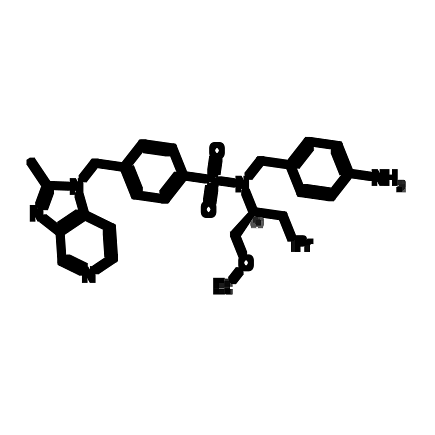 CCOC[C@H](CC(C)C)N(Cc1ccc(N)cc1)S(=O)(=O)c1ccc(Cn2c(C)nc3cnccc32)cc1